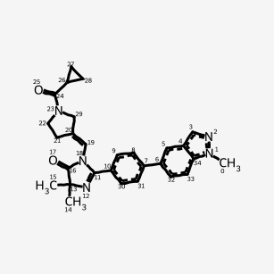 Cn1ncc2cc(-c3ccc(C4=NC(C)(C)C(=O)N4/C=C4\CCN(C(=O)C5CC5)C4)cc3)ccc21